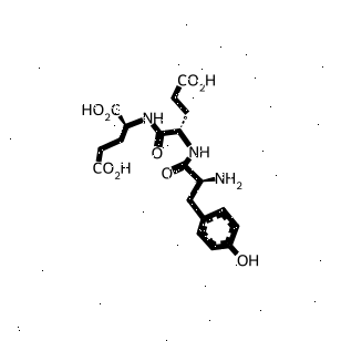 N[C@@H](Cc1ccc(O)cc1)C(=O)N[C@@H](CCC(=O)O)C(=O)N[C@@H](CCC(=O)O)C(=O)O